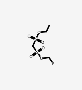 CCOS(=O)(=O)CS(=O)(=O)OCF